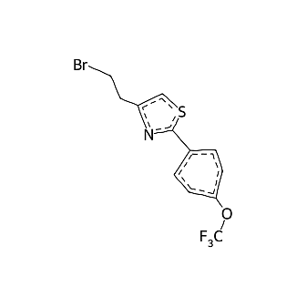 FC(F)(F)Oc1ccc(-c2nc(CCBr)cs2)cc1